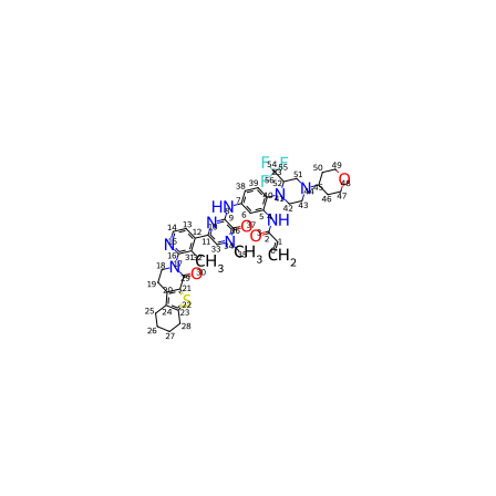 C=CC(=O)Nc1cc(Nc2nc(-c3ccnc(N4CCc5c(sc6c5CCCC6)C4=O)c3C)cn(C)c2=O)ccc1N1CCN(C2CCOCC2)CC1C(F)(F)F